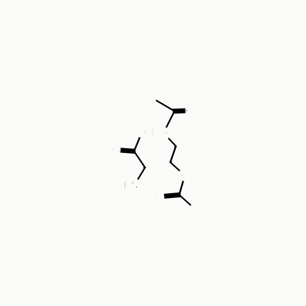 CC(=O)OCCOC(C)=O.NCC(=O)O